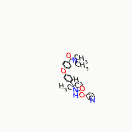 CN(C)C(=O)c1ccc(Oc2ccc(C(C)(C)NC(=O)OC3CN4CCC3CC4)cc2)cc1